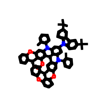 Cc1ccccc1N1c2cc3c(cc2B2c4c1cc(-n1c5ccc(C(C)(C)C)cc5c5cc(C(C)(C)C)ccc51)cc4N(c1ccccc1C)c1cc4c5c(c12)Oc1ccccc1B5c1ccccc1O4)B1c2ccccc2Oc2cccc(c21)O3